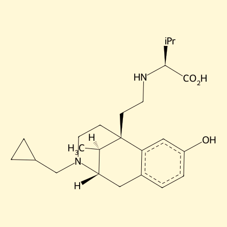 CC(C)[C@H](NCC[C@@]12CCN(CC3CC3)[C@@H](Cc3ccc(O)cc31)[C@H]2C)C(=O)O